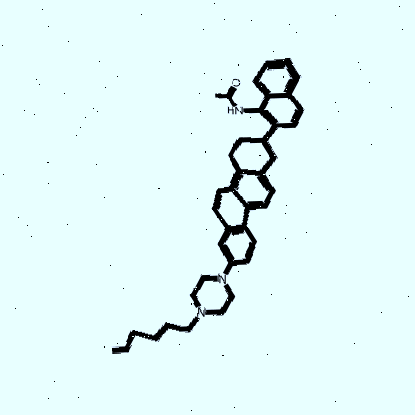 CCCCCCN1CCN(c2ccc3c(ccc4c5c(ccc43)CC(c3ccc4ccccc4c3NC(C)=O)CC5)c2)CC1